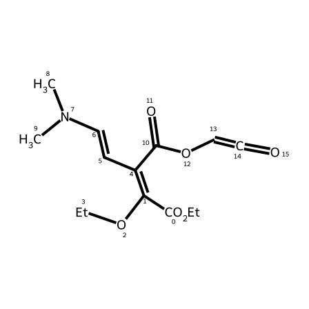 CCOC(=O)C(OCC)=C(C=CN(C)C)C(=O)OC=C=O